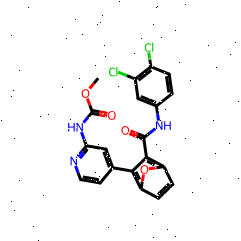 COC(=O)Nc1cc(-c2c(C(=O)Nc3ccc(Cl)c(Cl)c3)c3ccc2o3)ccn1